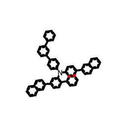 c1ccc(-c2cccc(-c3ccc(N(c4ccc(-c5ccc6ccccc6c5)cc4)c4cc(-c5ccc6ccccc6c5)ccc4-c4ccccc4)cc3)c2)cc1